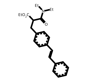 CCOC(=O)C(Cc1ccc(C=Cc2ccccc2)cc1)C(=O)N(CC)CC